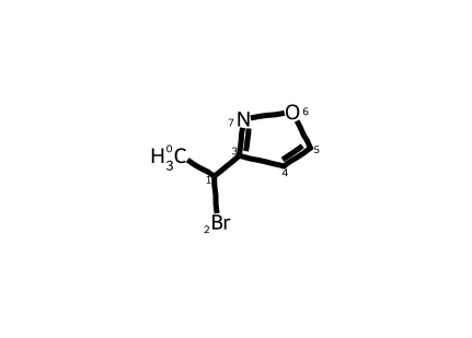 CC(Br)c1ccon1